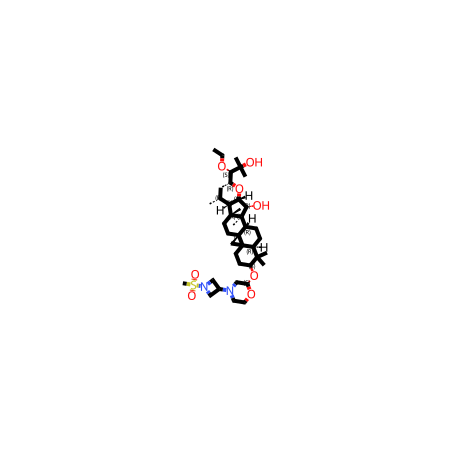 CCO[C@@H]([C@H]1C[C@@H](C)[C@H]2[C@H](O1)[C@H](O)[C@@]1(C)[C@@H]3CC[C@H]4C(C)(C)[C@@H](O[C@H]5CN(C6CN(S(C)(=O)=O)C6)CCO5)CCC45C[C@@]35CC[C@]21C)C(C)(C)O